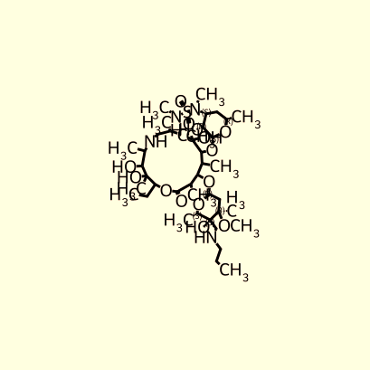 CCCNC[C@]1(O)[C@H](C)O[C@@H](OC2C(C)C(=O)OC(CC)C(C)(O)C(O)C(C)NCC(C)CC(C)(O)C(O[C@@H]3O[C@H](C)C[C@H](N(C)S(=O)(=O)NC)[C@H]3O)C2C)C[C@@]1(C)OC